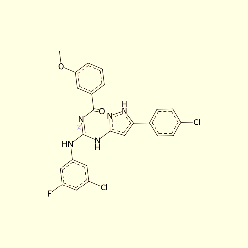 COc1cccc(C(=O)/N=C(/Nc2cc(F)cc(Cl)c2)Nc2cc(-c3ccc(Cl)cc3)[nH]n2)c1